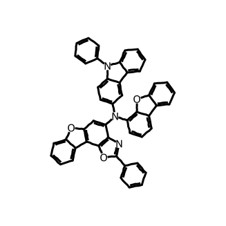 c1ccc(-c2nc3c(N(c4ccc5c(c4)c4ccccc4n5-c4ccccc4)c4cccc5c4oc4ccccc45)cc4oc5ccccc5c4c3o2)cc1